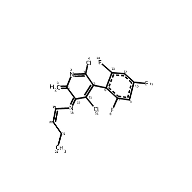 C=C1N=C(Cl)C(c2c(F)cc(F)cc2F)=C(Cl)/C1=N/C=C\CC